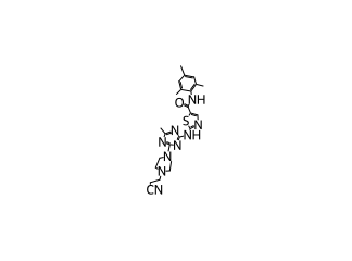 Cc1cc(C)c(NC(=O)c2cnc(Nc3nc(C)nc(N4CCN(CCC#N)CC4)n3)s2)c(C)c1